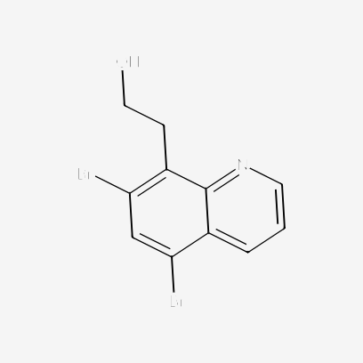 OCCc1c(Br)cc(Br)c2cccnc12